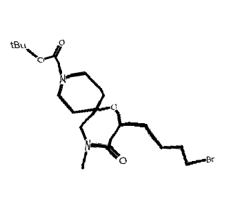 CN1CC2(CCN(C(=O)OC(C)(C)C)CC2)OC(CCCCBr)C1=O